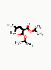 CC(C)C=C(C(=O)OC(C)C)C(=O)OC(C)C